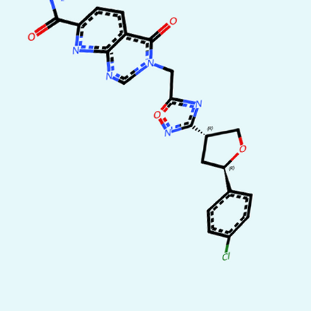 NC(=O)c1ccc2c(=O)n(Cc3nc([C@@H]4CO[C@@H](c5ccc(Cl)cc5)C4)no3)cnc2n1